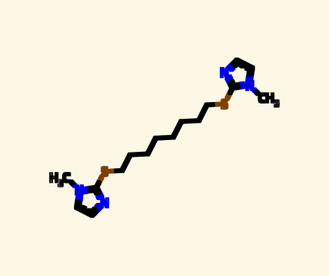 Cn1ccnc1SCCCCCCCCSc1nccn1C